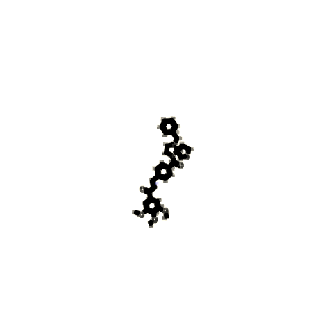 COc1cc(C(=O)/C=C/c2ccc(C(=O)N3CCN(Cc4ccccc4)C34CCSC4)cc2)cc(OC)c1OC